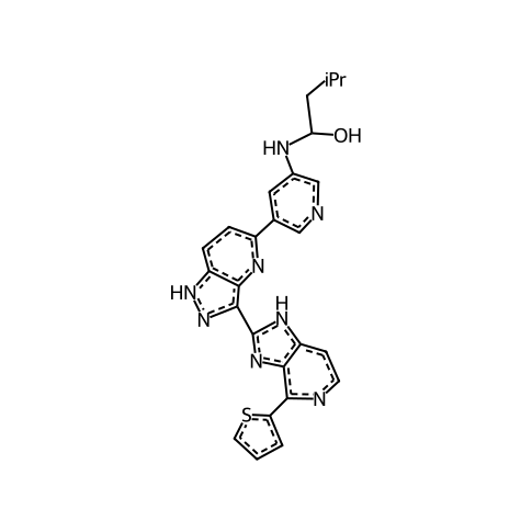 CC(C)CC(O)Nc1cncc(-c2ccc3[nH]nc(-c4nc5c(-c6cccs6)nccc5[nH]4)c3n2)c1